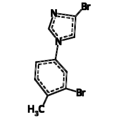 Cc1ccc(-n2cnc(Br)c2)cc1Br